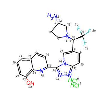 Cl.Cl.N[C@H]1CCN([C@H](c2ccc3nnc(-c4ccc5cccc(O)c5n4)n3c2)C(F)(F)F)C1